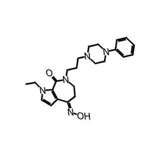 CCn1ccc2c1C(=O)N(CCCN1CCN(c3ccccc3)CC1)CCC2=NO